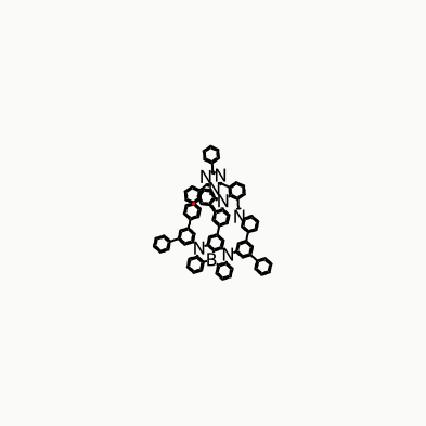 N#Cc1cccc(-c2nc(-c3ccccc3)nc(-c3ccccc3)n2)c1-n1c2ccccc2c2cc(-c3cc4c5c(c3)N(c3cc(-c6ccccc6)cc(-c6ccccc6)c3)c3ccccc3B5c3ccccc3N4c3cc(-c4ccccc4)cc(-c4ccccc4)c3)ccc21